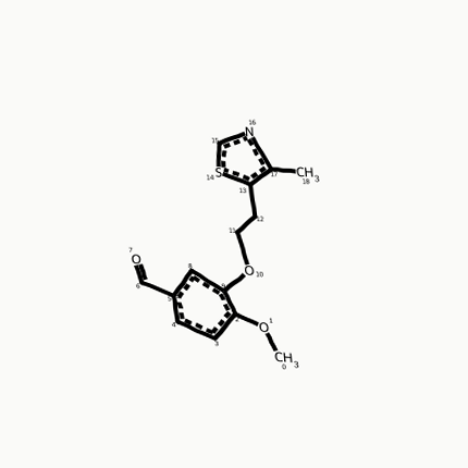 COc1ccc(C=O)cc1OCCc1scnc1C